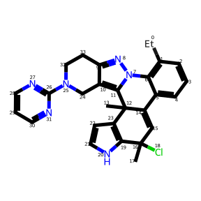 CCc1cccc2c1-n1nc3c(c1C1(C)C2=CC(C)(Cl)c2[nH]ccc21)CN(c1ncccn1)CC3